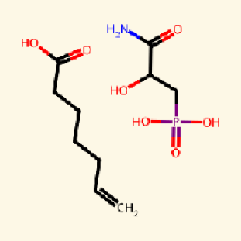 C=CCCCCC(=O)O.NC(=O)C(O)CP(=O)(O)O